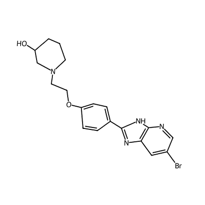 OC1CCCN(CCOc2ccc(-c3nc4cc(Br)cnc4[nH]3)cc2)C1